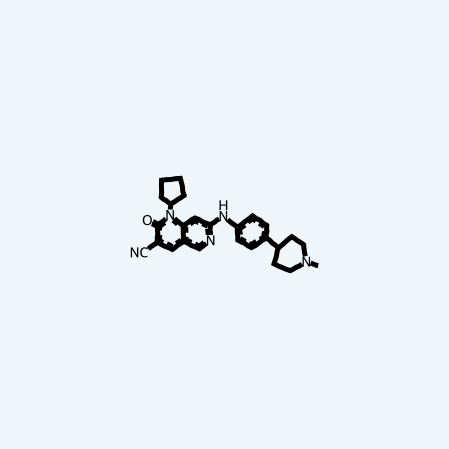 CN1CCC(c2ccc(Nc3cc4c(cn3)cc(C#N)c(=O)n4C3CCCC3)cc2)CC1